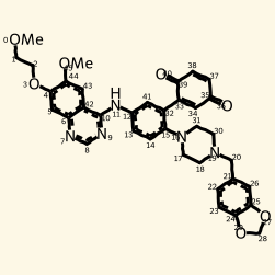 COCCOc1cc2ncnc(Nc3ccc(N4CCN(Cc5ccc6c(c5)OCO6)CC4)c(C4=CC(=O)C=CC4=O)c3)c2cc1OC